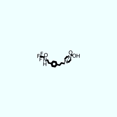 O=C(O)N1CCN(CCCc2ccc(CCNC(=O)C(F)(F)F)cc2)CC1